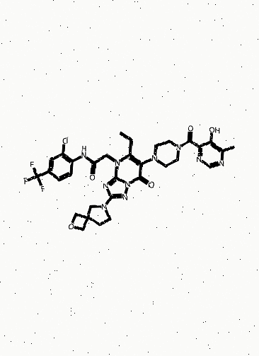 CCc1c(N2CCN(C(=O)c3ncnc(C)c3O)CC2)c(=O)n2nc(N3CCC4(COC4)C3)nc2n1CC(=O)Nc1ccc(C(F)(F)F)cc1Cl